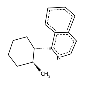 C[C@H]1CCCC[C@@H]1c1nccc2ccccc12